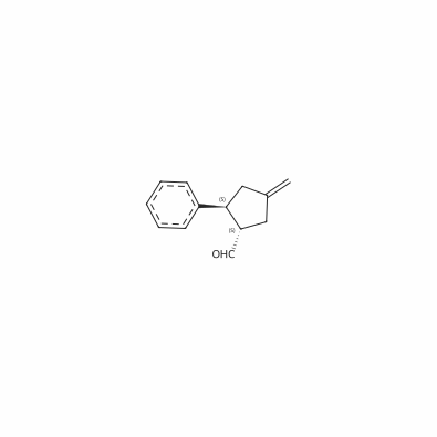 C=C1C[C@H](c2ccccc2)[C@@H](C=O)C1